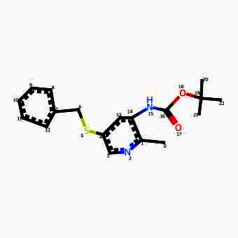 Cc1ncc(SCc2ccccc2)cc1NC(=O)OC(C)(C)C